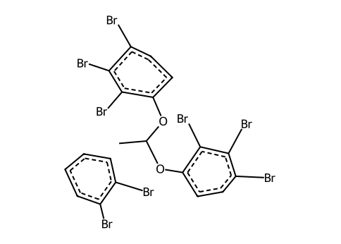 Brc1ccccc1Br.CC(Oc1ccc(Br)c(Br)c1Br)Oc1ccc(Br)c(Br)c1Br